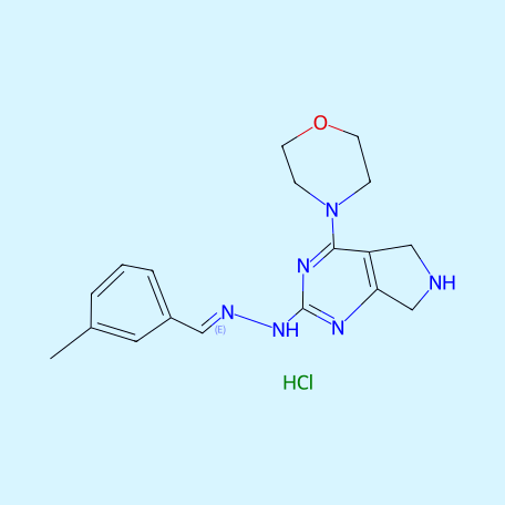 Cc1cccc(/C=N/Nc2nc3c(c(N4CCOCC4)n2)CNC3)c1.Cl